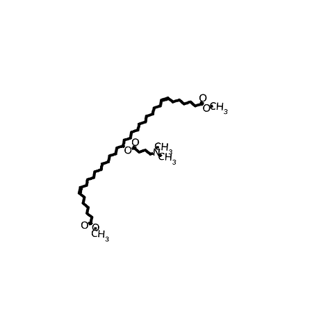 COC(=O)CCCCC/C=C\CCCCCCCCCCC(CCCCCCCCCC/C=C\CCCCCC(=O)OC)OC(=O)CCCN(C)C